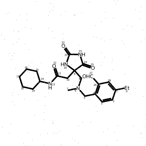 CCc1ccc(CN(C)CC2(CC(=O)NC3CCCCC3)NC(=O)NC2=O)c(C=O)c1